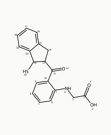 O=C(O)CNc1ccccc1C(=O)C1Cc2ccccc2C1S